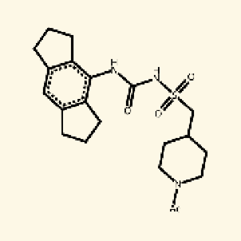 CC(=O)N1CCC(CS(=O)(=O)NC(=O)Nc2c3c(cc4c2CCC4)CCC3)CC1